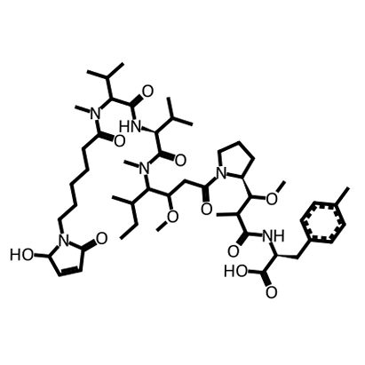 CCC(C)C(C(CC(=O)N1CCC[C@H]1C(OC)C(C)C(=O)N[C@@H](Cc1ccc(C)cc1)C(=O)O)OC)N(C)C(=O)[C@@H](NC(=O)C(C(C)C)N(C)C(=O)CCCCCN1C(=O)C=CC1O)C(C)C